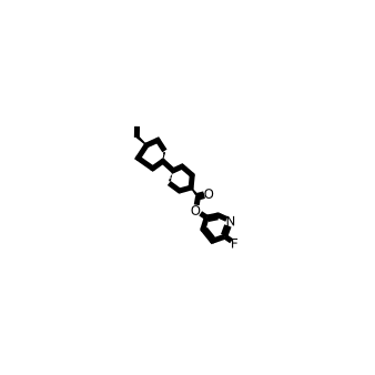 CC[C@H]1CC[C@H]([C@H]2CC[C@H](C(=O)Oc3ccc(F)nc3)CC2)CC1